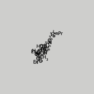 CCCc1ccc(CCO/N=C2\C=C[C@@]3(C)C(=C2)CC[C@H]2[C@@H]4C[C@H](C)C(OC(=O)CC)(C(=O)COC(=O)CC)[C@@]4(C)C[C@H](O)[C@@]23F)s1